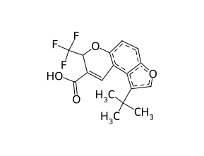 CC(C)(C)c1coc2ccc3c(c12)C=C(C(=O)O)C(C(F)(F)F)O3